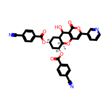 C[C@@]12Oc3cc(-c4cccnc4)oc(=O)c3C(O)C1C[C@@H](OC(=O)c1ccc(C#N)cc1)C[C@H]2OC(=O)c1ccc(C#N)cc1